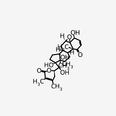 CC1=C(C)C(=O)O[C@@H]([C@](C)(O)[C@]2(O)CC[C@@]3(O)[C@@H]4C[C@H]5O[C@]56[C@@H](O)C=CC(=O)[C@]6(C)[C@H]4CC[C@]23C)C1